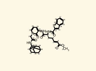 COC(=O)/C=C/CC[C@H](NC(=O)c1cc2ccccc2s1)C(=O)Nc1cccn(CC(=O)NC2C3CC4CC(C3)CC2C4)c1=O